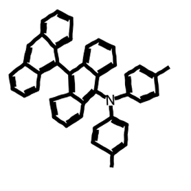 Cc1ccc(N(c2ccc(C)cc2)c2c3ccccc3c(-c3c4ccccc4cc4ccccc34)c3ccccc23)cc1